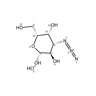 Cl.[N-]=[N+]=N[C@@H]1[C@@H](O)[C@H](O)O[C@H](CO)[C@@H]1O